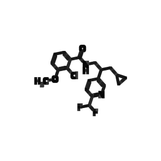 COc1cccc(C(=O)NCC(CC2CC2)c2ccc(C(F)F)nc2)c1Cl